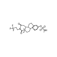 CNS(=O)(=O)Oc1ccc2c(c1)CCC1C2CC[C@]2(C)C(=O)N(CCC(F)(F)F)C(=O)CC12